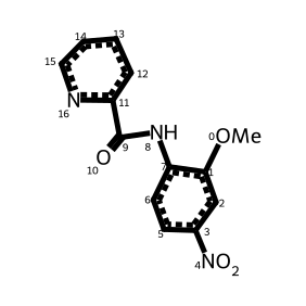 COc1cc([N+](=O)[O-])ccc1NC(=O)c1ccccn1